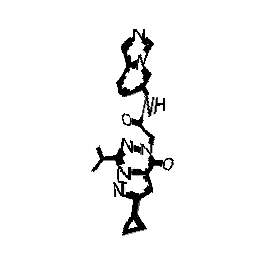 CC(C)c1nn(CC(=O)Nc2ccc3cncn3c2)c(=O)c2cc(C3CC3)nn12